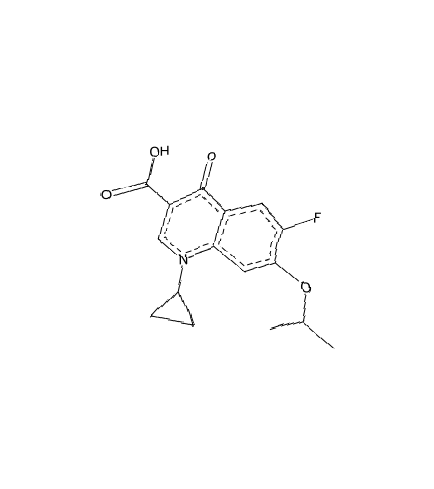 CC(C)Oc1cc2c(cc1F)c(=O)c(C(=O)O)cn2C1CC1